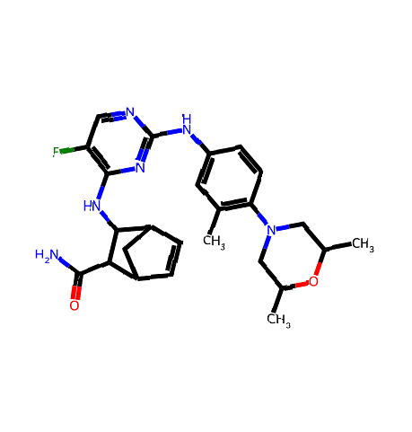 Cc1cc(Nc2ncc(F)c(NC3C4C=CC(C4)C3C(N)=O)n2)ccc1N1CC(C)OC(C)C1